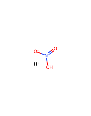 O=[N+]([O-])O.[H+]